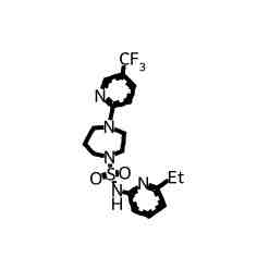 CCc1cccc(NS(=O)(=O)N2CCCN(c3ccc(C(F)(F)F)cn3)CC2)n1